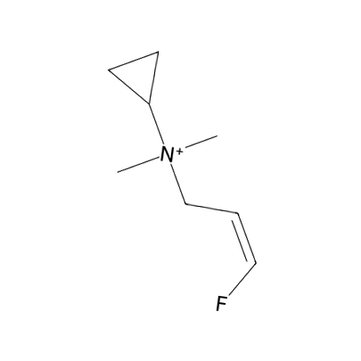 C[N+](C)(C/C=C\F)C1CC1